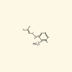 CC(C)=CCOc1cccnc1C(=O)O